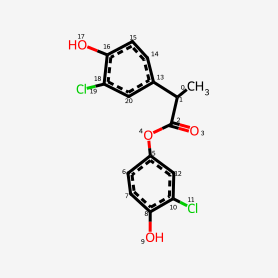 CC(C(=O)Oc1ccc(O)c(Cl)c1)c1ccc(O)c(Cl)c1